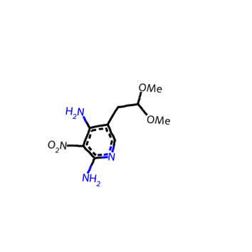 COC(Cc1cnc(N)c([N+](=O)[O-])c1N)OC